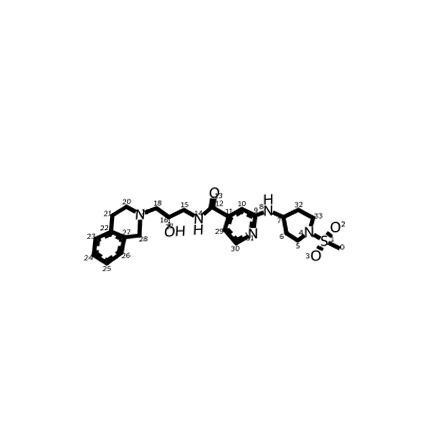 CS(=O)(=O)N1CCC(Nc2cc(C(=O)NC[C@H](O)CN3CCc4ccccc4C3)ccn2)CC1